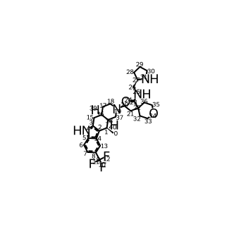 C[C@H]1c2c([nH]c3ccc(C(F)(F)F)cc23)C[C@H]2CCN(CCC3(C(=O)NC[C@H]4CCCN4)CCOCC3)C[C@@H]21